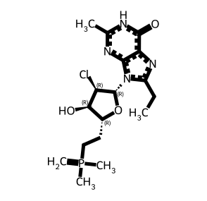 C=P(C)(C)CC[C@H]1O[C@@H](n2c(CC)nc3c(=O)[nH]c(C)nc32)[C@H](Cl)[C@@H]1O